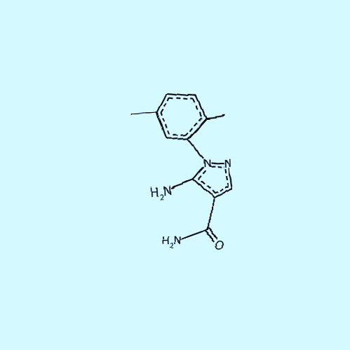 Cc1ccc(C)c(-n2ncc(C(N)=O)c2N)c1